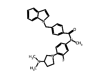 CN(C(=O)c1ccc(Cn2ccc3ccccc32)cc1)c1ccc(N2CCC(N(C)C)C2)c(F)c1